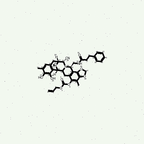 C=CCOC(=O)Oc1c(C)c2c(c3c1CC1[C@@H]4c5c(cc(C)c(O)c5O)C[C@H]([C@H](C#N)N1[C@H]3CNC(=O)CCc1ccccc1)N4C)OCO2